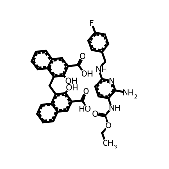 CCOC(=O)Nc1ccc(NCc2ccc(F)cc2)nc1N.O=C(O)c1cc2ccccc2c(Cc2c(O)c(C(=O)O)cc3ccccc23)c1O